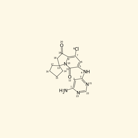 Nc1cc(Nc2cc(Cl)c3n(c2=O)C2(CCCC2)CC3=O)ncn1